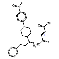 CN(CCc1ccccc1)C1CCN(c2ccc([N+](=O)[O-])cc2)CC1.O=C(O)/C=C/C(=O)O